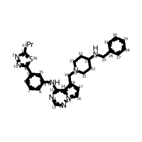 CC(C)c1nnc(-c2cccc(Nc3ncnn4ccc(CN5CCC(NCc6ccccc6)CC5)c34)c2)s1